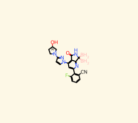 BC1(B)NC(=O)c2c(-n3ccc(N4CC[C@@H](O)C4)n3)cc(-c3c(F)cccc3C#N)nc21